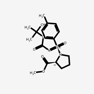 COC(=O)[C@@H]1CCCN1[S@@](=O)(=NC(=O)OC(C)(C)C)c1ccc(C)cc1